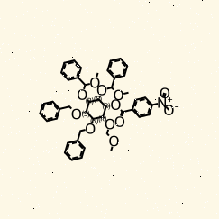 COCO[C@@H]1[C@@H](OCc2ccccc2)[C@H](OCc2ccccc2)[C@@H](OC(OC)c2ccccc2)[C@H](OC(OC)c2ccccc2)[C@@H]1OC(=O)c1ccc([N+](=O)[O-])cc1